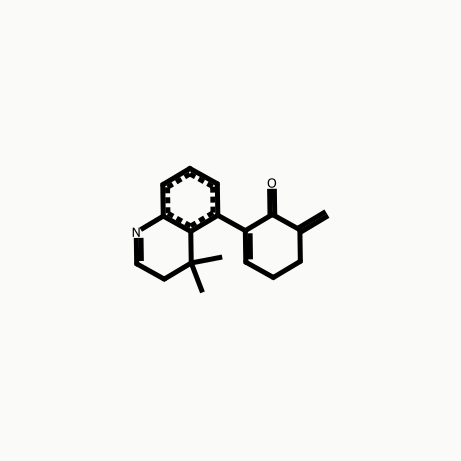 C=C1CCC=C(c2cccc3c2C(C)(C)CC=N3)C1=O